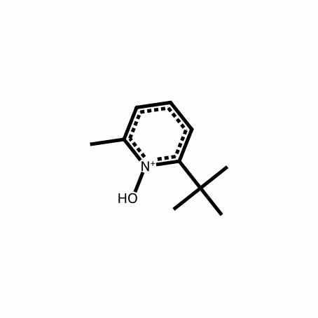 Cc1cccc(C(C)(C)C)[n+]1O